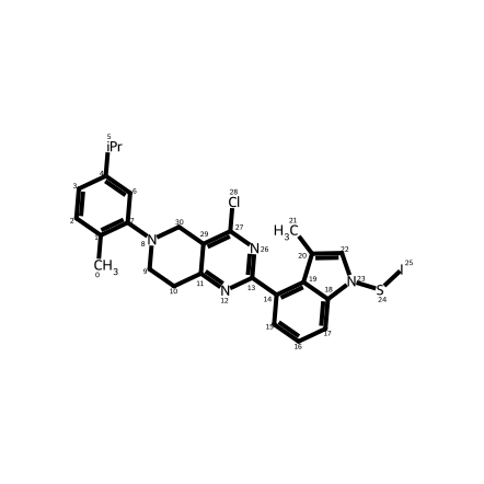 Cc1ccc(C(C)C)cc1N1CCc2nc(-c3cccc4c3c(C)cn4SI)nc(Cl)c2C1